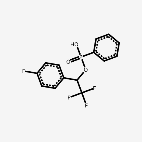 O=P(O)(OC(c1ccc(F)cc1)C(F)(F)F)c1ccccc1